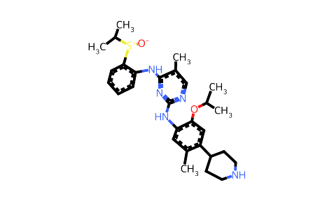 Cc1cc(Nc2ncc(C)c(Nc3ccccc3[S+]([O-])C(C)C)n2)c(OC(C)C)cc1C1CCNCC1